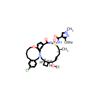 CCO[C@H]1/C=C/C[C@H](C)CS(=O)(NC(=O)c2cn(C)nc2OC)=NC(=O)c2ccc3c(c2)N(Cc2ccc(Cl)cc2CCCCO3)C[C@@H]2CC[C@H]21